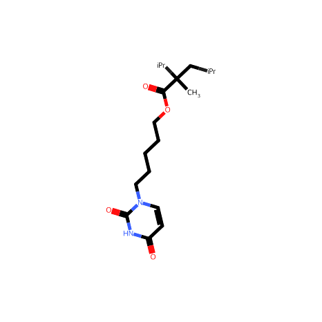 CC(C)CC(C)(C(=O)OCCCCCn1ccc(=O)[nH]c1=O)C(C)C